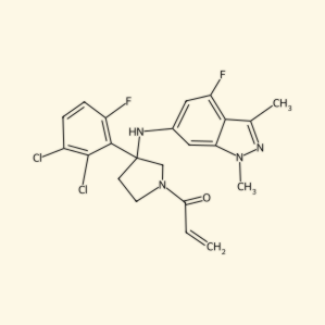 C=CC(=O)N1CCC(Nc2cc(F)c3c(C)nn(C)c3c2)(c2c(F)ccc(Cl)c2Cl)C1